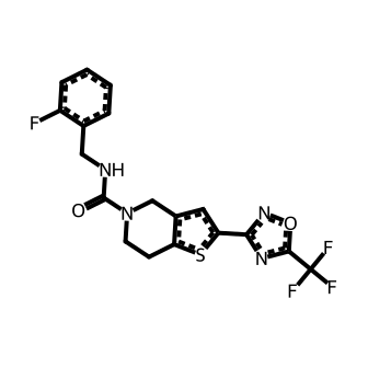 O=C(NCc1ccccc1F)N1CCc2sc(-c3noc(C(F)(F)F)n3)cc2C1